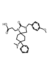 COc1ccc(CN2CC3(CCC(c4ccccc4)(N(C)C)CC3)N(CCC(=O)O)C2=O)cc1